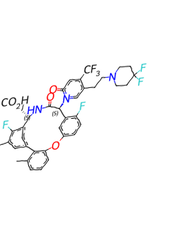 Cc1cc2cc(c1F)[C@H](CC(=O)O)NC(=O)[C@@H](n1cc(CCN3CCC(F)(F)CC3)c(C(F)(F)F)cc1=O)c1cc(ccc1F)Oc1cccc(C)c1-2